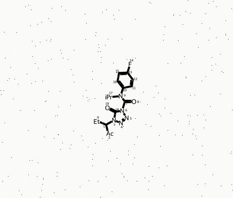 CCC(C(C)=O)n1nnn(C(=O)N(c2ccc(F)cc2)C(C)C)c1=O